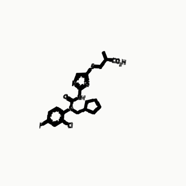 CC(CSc1cnc(NC(=O)N(CC2CCCC2)c2ccc(F)cc2Cl)s1)C(=O)O